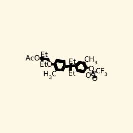 CCC(CC)(COc1ccc(C(CC)(CC)c2ccc(OS(=O)(=O)C(F)(F)F)c(C)c2)cc1C)OC(C)=O